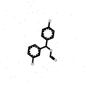 O=COC(c1ccc(Cl)cc1)c1cccc(Cl)c1